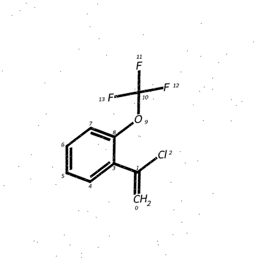 C=C(Cl)c1ccccc1OC(F)(F)F